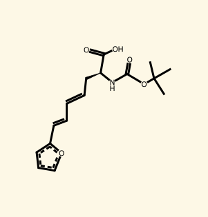 CC(C)(C)OC(=O)N[C@@H](CC=CC=Cc1ccco1)C(=O)O